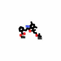 Cc1cc(C)c(C(C)(C)CCO[Si](C)(C)C(C)(C)C)c(C(=O)[C@@H](N)Cc2ccccc2C(=O)OC(C)(C)C)c1